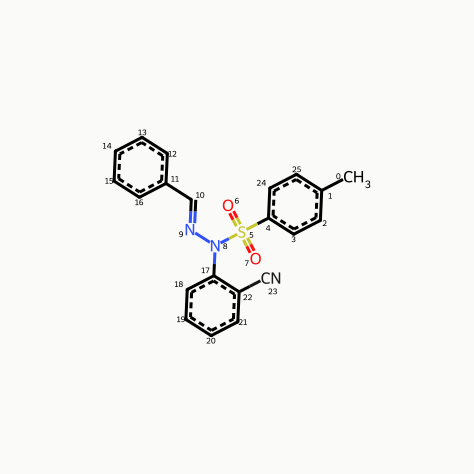 Cc1ccc(S(=O)(=O)N(N=Cc2ccccc2)c2ccccc2C#N)cc1